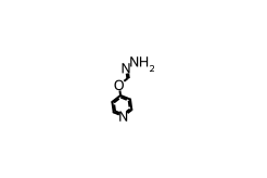 NN=COc1ccncc1